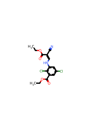 CCOC(=O)C(C#N)=CNc1cc(Cl)cc(C(=O)OCC)c1Cl